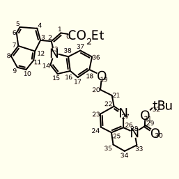 CCOC(=O)C=C(c1cccc2ccccc12)n1ccc2cc(OCCc3ccc4c(n3)N(C(=O)OC(C)(C)C)CCC4)ccc21